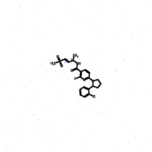 C[C@H](/C=C/S(C)(=O)=O)NC(=O)c1ccc(N2CCCC2c2ccccc2Cl)nc1F